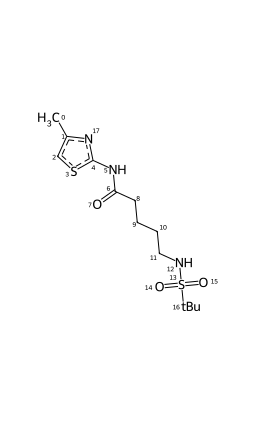 Cc1csc(NC(=O)CCCCNS(=O)(=O)C(C)(C)C)n1